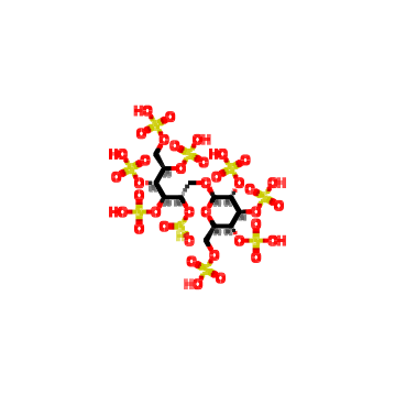 O=[SH](=O)O[C@@H](CO[C@@H]1O[C@H](COS(=O)(=O)O)[C@@H](OS(=O)(=O)O)[C@H](OS(=O)(=O)O)[C@H]1OS(=O)(=O)O)[C@@H](OS(=O)(=O)O)[C@H](OS(=O)(=O)O)[C@@H](COS(=O)(=O)O)OS(=O)(=O)O